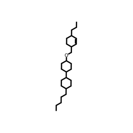 CCCCCC1CCC(C2CCC(OCC3C=CC(CCC)CC3)CC2)CC1